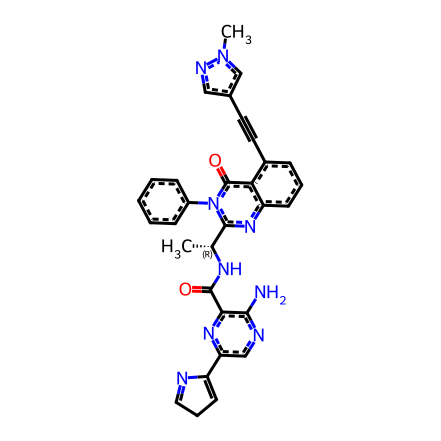 C[C@@H](NC(=O)c1nc(C2=CCC=N2)cnc1N)c1nc2cccc(C#Cc3cnn(C)c3)c2c(=O)n1-c1ccccc1